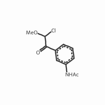 COC(Cl)C(=O)c1cccc(NC(C)=O)c1